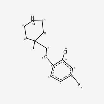 CC1(COc2ccc(F)cc2Cl)CCNCC1